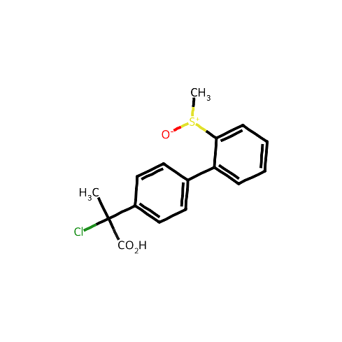 C[S+]([O-])c1ccccc1-c1ccc(C(C)(Cl)C(=O)O)cc1